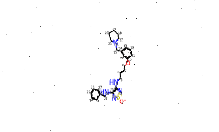 [O-][s+]1nc(NCC=CCOc2cccc(CN3CCCCC3)c2)c(NCc2ccccc2)n1